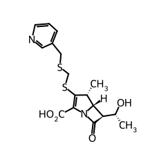 C[C@@H](O)[C@H]1C(=O)N2C(C(=O)O)=C(SCSCc3cccnc3)[C@H](C)[C@H]12